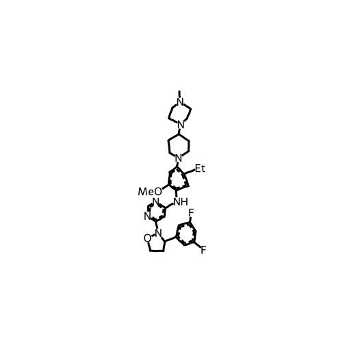 CCc1cc(Nc2cc(N3OCCC3c3cc(F)cc(F)c3)ncn2)c(OC)cc1N1CCC(N2CCN(C)CC2)CC1